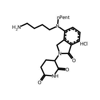 CCCCCN(CCCCN)c1cccc2c1CN(C1CCC(=O)NC1=O)C2=O.Cl